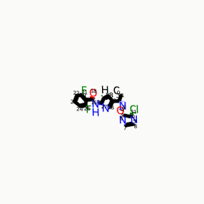 CC/C(=N/Oc1nccnc1Cl)c1ccc(NC(=O)c2c(F)cccc2F)nc1